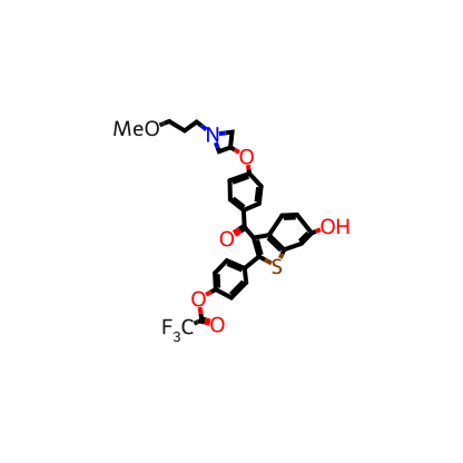 COCCCN1CC(Oc2ccc(C(=O)c3c(-c4ccc(OC(=O)C(F)(F)F)cc4)sc4cc(O)ccc34)cc2)C1